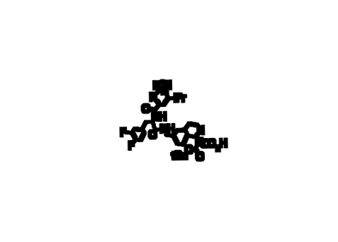 CC(C)c1cc(C(=O)NC(Cc2ccc(F)c(F)c2)C(=O)NCc2ccc3c(N(C(=O)O)C(=O)OC(C)(C)C)nccc3c2)nc2ncnn12